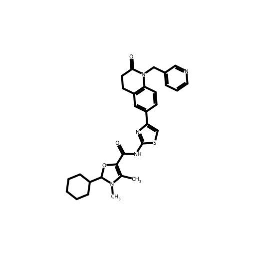 CC1=C(C(=O)Nc2nc(-c3ccc4c(c3)CCC(=O)N4Cc3cccnc3)cs2)OC(C2CCCCC2)N1C